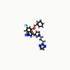 Fc1cc(OCc2ccccc2)c2c(C3CCN(CCCn4nccn4)C3)c[nH]c2c1